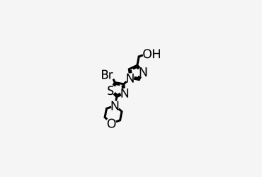 OCc1cn(-c2nc(N3CCOCC3)sc2Br)cn1